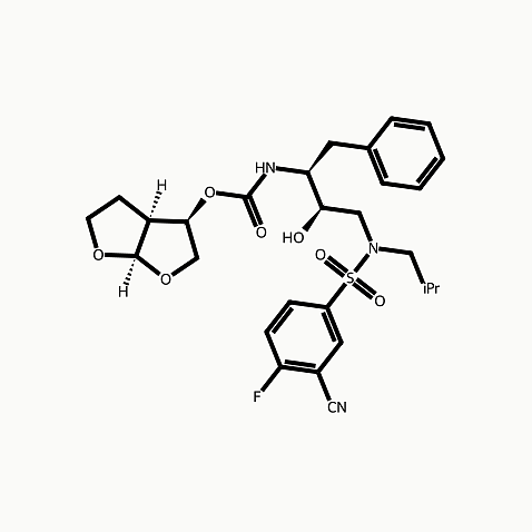 CC(C)CN(C[C@@H](O)[C@H](Cc1ccccc1)NC(=O)O[C@H]1CO[C@H]2OCC[C@H]21)S(=O)(=O)c1ccc(F)c(C#N)c1